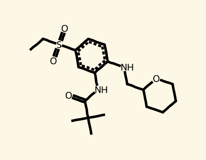 CCS(=O)(=O)c1ccc(NCC2CCCCO2)c(NC(=O)C(C)(C)C)c1